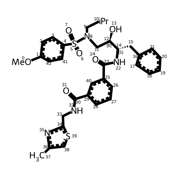 COc1ccc(S(=O)(=O)N(CC(C)C)C[C@@H](O)[C@H](Cc2ccccc2)NC(=O)c2cccc(C(=O)NCc3nc(C)cs3)c2)cc1